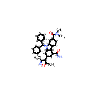 Cc1noc(C)c1-c1cc(C(N)=O)c2c3ccc(C(=O)N(C)C)cc3n(C(c3ccccc3)c3ccccc3)c2c1